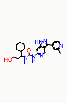 Cc1cc(-c2n[nH]c3cc(NC(=O)NC(CCO)C4CCCCC4)ncc23)ccn1